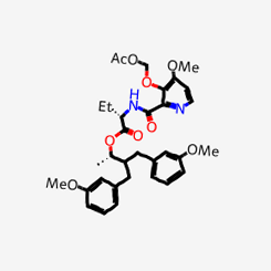 CC[C@H](NC(=O)c1nccc(OC)c1OCOC(C)=O)C(=O)O[C@@H](C)C(Cc1cccc(OC)c1)Cc1cccc(OC)c1